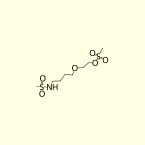 CS(=O)(=O)NCCCCOCCOS(C)(=O)=O